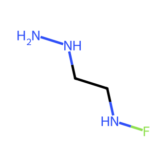 NNCCNF